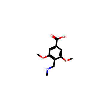 CNCc1c(OC)cc(C(=O)O)cc1OC